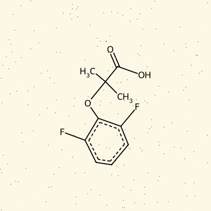 CC(C)(Oc1c(F)cccc1F)C(=O)O